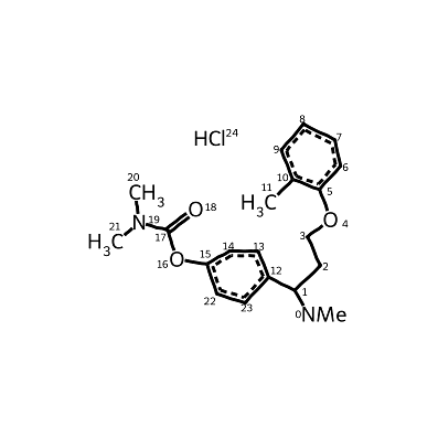 CNC(CCOc1ccccc1C)c1ccc(OC(=O)N(C)C)cc1.Cl